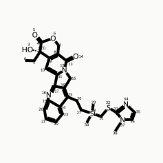 CC[C@@]1(O)C(=O)OCc2c1cc1n(c2=O)Cc2c-1nc1ccccc1c2CC[Si](C)(C)CSc1nccn1C